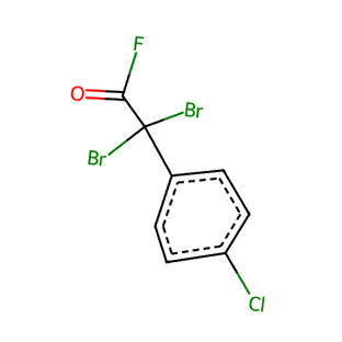 O=C(F)C(Br)(Br)c1ccc(Cl)cc1